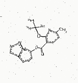 [2H]C([2H])([2H])Oc1nc(C)ccc1C(=O)Oc1cccc2cnnn12